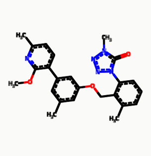 COc1nc(C)ccc1-c1cc(C)cc(OCc2c(C)cccc2-n2nnn(C)c2=O)c1